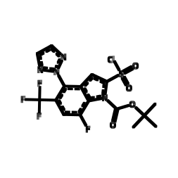 CC(C)(C)OC(=O)n1c(S(=O)(=O)Cl)cc2c(-n3nccn3)c(C(F)(F)F)cc(F)c21